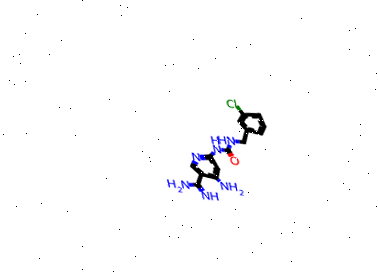 N=C(N)c1cnc(NC(=O)NCc2cccc(Cl)c2)cc1N